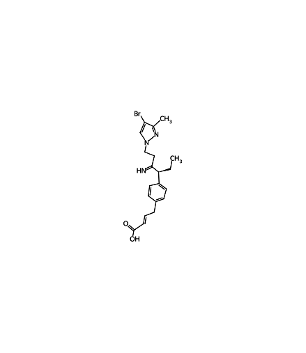 CC[C@H](C(=N)CCn1cc(Br)c(C)n1)c1ccc(C/C=C/C(=O)O)cc1